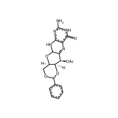 CC(=O)O[C@@H]1C2=Nc3c(nc(N)[nH]c3=O)NC2O[C@@H]2COC(c3ccccc3)O[C@H]12